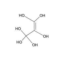 OC(O)=C(O)C(O)(O)O